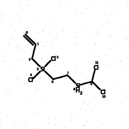 C=CC[Si](Cl)(Cl)CC[SiH2]C(Cl)Cl